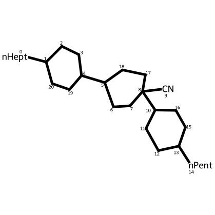 CCCCCCCC1CCC(C2CCC(C#N)(C3CCC(CCCCC)CC3)CC2)CC1